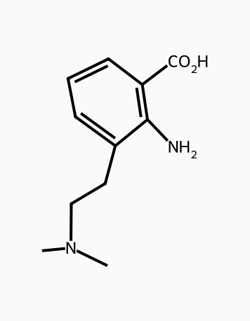 CN(C)CCc1cccc(C(=O)O)c1N